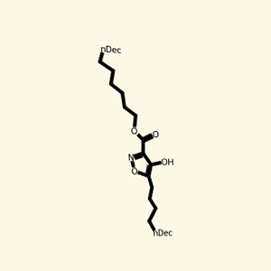 CCCCCCCCCCCCCCCCOC(=O)c1noc(CCCCCCCCCCCCCC)c1O